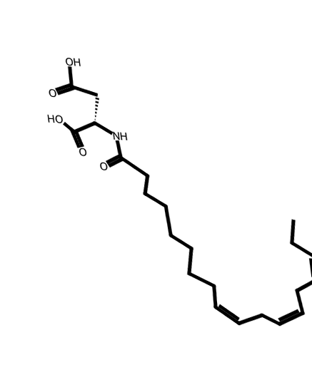 CC/C=C\C/C=C\C/C=C\CCCCCCCC(=O)N[C@@H](CC(=O)O)C(=O)O